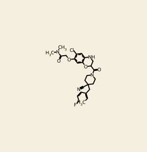 C/C=C(\C=C/CF)CC1(C#N)CCN(C(=O)C2CNc3cc(Cl)c(OCC(=O)N(C)C)cc3O2)CC1